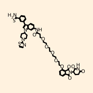 NC(=S)c1cccc(-c2cn(C3CCN(c4nccs4)CC3)c3cc(NC(=O)CCOCCOCCOCCOCCOc4cccc5c4C(=O)N(C4CCC(=O)NC4=O)C5=O)ccc23)c1